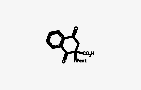 CCCCCC1(C(=O)O)CC(=O)c2ccccc2C1=O